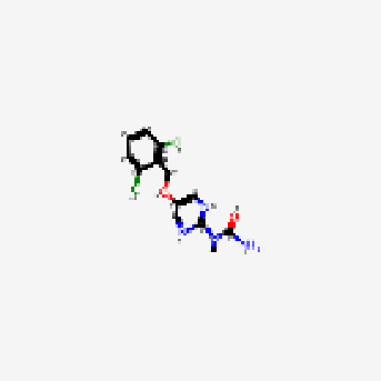 CN(C(N)=O)c1ncc(OCc2c(Cl)cccc2Cl)cn1